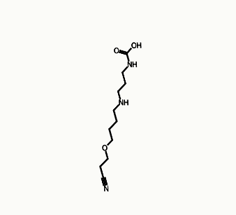 N#CCCOCCCCNCCCNC(=O)O